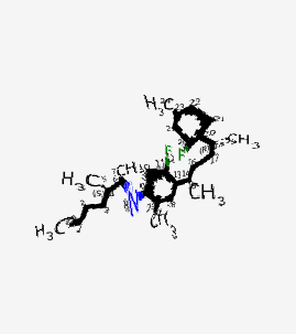 CCCC[C@H](C)/C(C)=N/c1cc(F)c(C(C)CC[C@@H](C)c2ccc(C)cc2F)cc1C